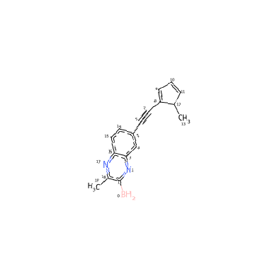 Bc1nc2cc(C#CC3=CC=CC3C)ccc2nc1C